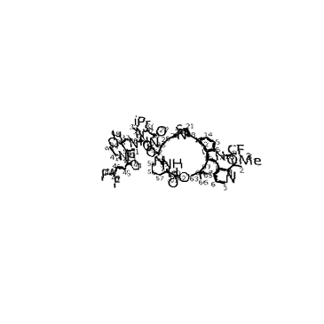 CO[C@@H](C)c1ncccc1-c1c2c3cc(ccc3n1CC(F)(F)F)-c1csc(n1)C[C@H](NC(=O)[C@H](C(C)C)N(C)C(=O)N1C[C@@H]3OCCN(C(=O)/C=C/C(F)F)[C@@H]3C1)C(=O)N1CCC[C@H](N1)C(=O)OCC(C)(C)C2